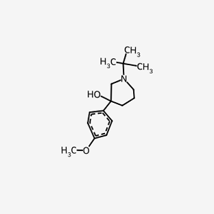 COc1ccc(C2(O)CCCN(C(C)(C)C)C2)cc1